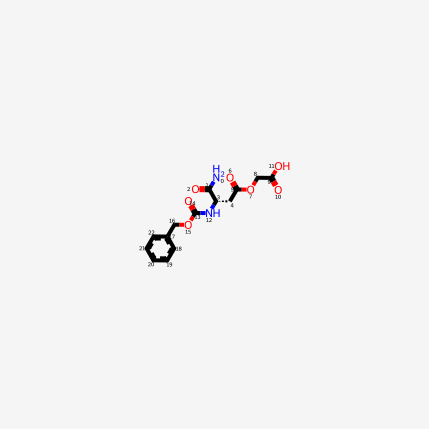 NC(=O)[C@H](CC(=O)OCC(=O)O)NC(=O)OCc1ccccc1